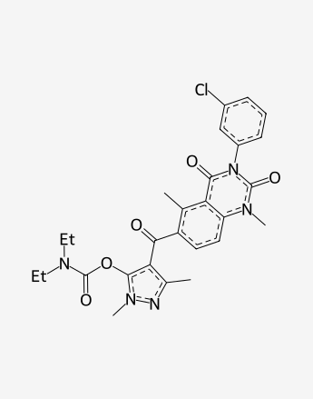 CCN(CC)C(=O)Oc1c(C(=O)c2ccc3c(c2C)c(=O)n(-c2cccc(Cl)c2)c(=O)n3C)c(C)nn1C